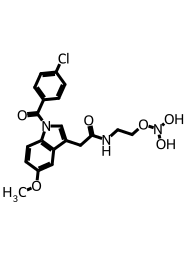 COc1ccc2c(c1)c(CC(=O)NCCON(O)O)cn2C(=O)c1ccc(Cl)cc1